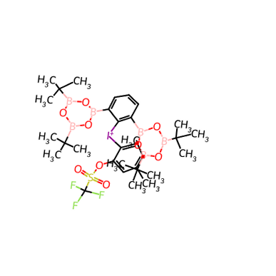 Cc1cc(C)c([I+]c2c(B3OB(C(C)(C)C)OB(C(C)(C)C)O3)cccc2B2OB(C(C)(C)C)OB(C(C)(C)C)O2)c(OS(=O)(=O)C(F)(F)F)c1